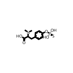 CN(C)C(Cc1ccc(OP(O)(O)=S)cc1)C(=O)O